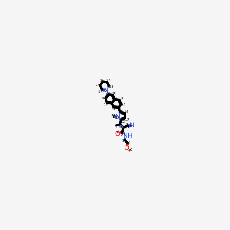 COCCNC(=O)/C(C#N)=C(\C)c1ccc(-c2ccc3cc(N4CCCCC4)ccc3c2)n1C